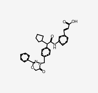 O=C(O)C=Cc1cccc(NC(=O)C(c2ccc(CN3N=C(c4ccccc4)OCC3=O)cc2)C2CCCC2)c1